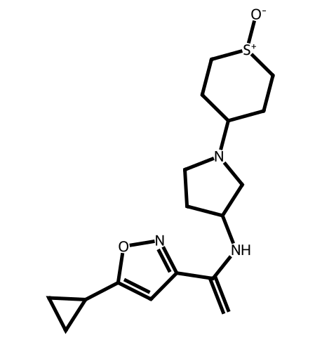 C=C(NC1CCN(C2CC[S+]([O-])CC2)C1)c1cc(C2CC2)on1